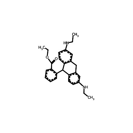 CCNc1ccc2c(c1)Cc1cc(NCC)ccc1C2c1ccccc1C(=O)OCC